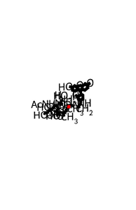 C=C(NCCC(C)(C)OCC(C)OP(=O)(O)C1=C[C@H](NC(=N)N)[C@@H](NC(C)=O)[C@H]([C@H](O)[C@H](O)CO)O1)Nc1ccc(-c2c3ccc(=O)cc-3oc3cc(O)ccc23)c(C(=O)O)c1